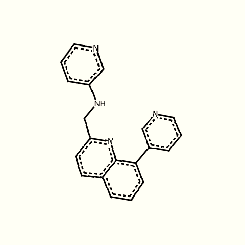 c1cncc(NCc2ccc3cccc(-c4cccnc4)c3n2)c1